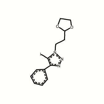 Ic1c(-c2ccccc2)nnn1CCC1OCCO1